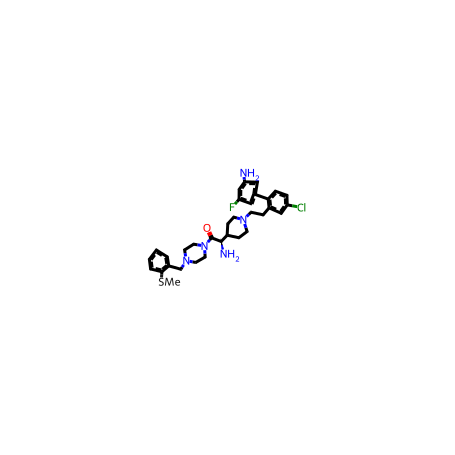 CSc1ccccc1CN1CCN(C(=O)[C@H](N)C2CCN(CCc3cc(Cl)ccc3-c3cc(N)cc(F)c3)CC2)CC1